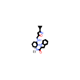 CCN(C(=O)c1cc2ccccc2[nH]1)[C@@H]1C=C(NCc2cc(C3CC3)no2)CCC1